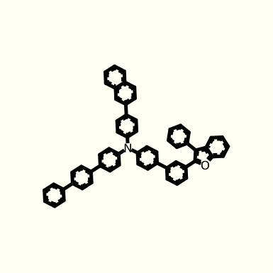 c1ccc(-c2ccc(-c3ccc(N(c4ccc(-c5cccc(-c6oc7ccccc7c6-c6ccccc6)c5)cc4)c4ccc(-c5ccc6ccccc6c5)cc4)cc3)cc2)cc1